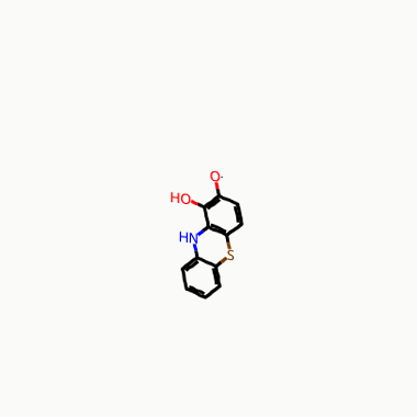 [O]c1ccc2c(c1O)Nc1ccccc1S2